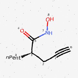 C#CC[C@@H](CCCCC)C(=O)NO